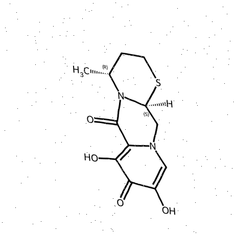 C[C@@H]1CCS[C@H]2Cn3cc(O)c(=O)c(O)c3C(=O)N12